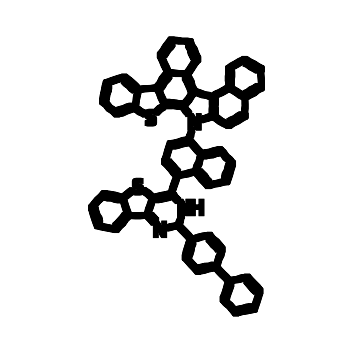 c1ccc(-c2ccc(C3N=c4c(sc5ccccc45)=C(c4ccc(-n5c6ccc7ccccc7c6c6c7ccccc7c7c8ccccc8sc7c65)c5ccccc45)N3)cc2)cc1